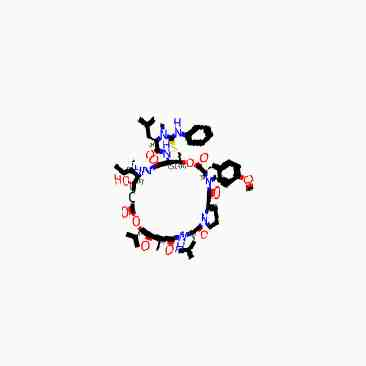 CC[C@H](C)[C@H]1NC(=O)[C@@H](NC(=O)[C@@H](CC(C)C)N(C)C(=S)Nc2ccccc2)[C@@H](C)OC(=O)[C@H](Cc2ccc(OC)cc2)N(C)C(=O)C2CCCN2C(=O)[C@H](CC(C)C)NC(=O)[C@@H](C)C(=O)[C@H](C(C)C)OC(=O)C[C@@H]1O